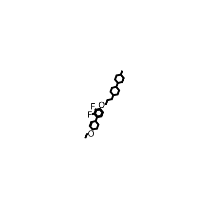 CCOC1C=CC(c2ccc(OCCCC3CCC(C4CCC(C)CC4)CC3)c(F)c2F)CC1